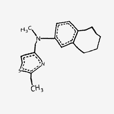 Cc1nc(N(C)c2ccc3c(c2)CCCC3)cs1